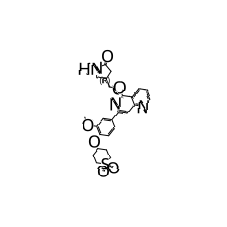 COc1cc(-c2cc3ncccc3c(OC[C@H]3CNC(=O)C3)n2)ccc1OC1CCS(=O)(=O)CC1